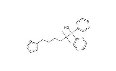 CC(C)(CCCCc1ccco1)[Si](O)(c1ccccc1)c1ccccc1